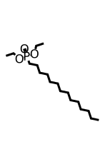 CCCCCCCCCCCCCCP(=O)(OCC)OCC